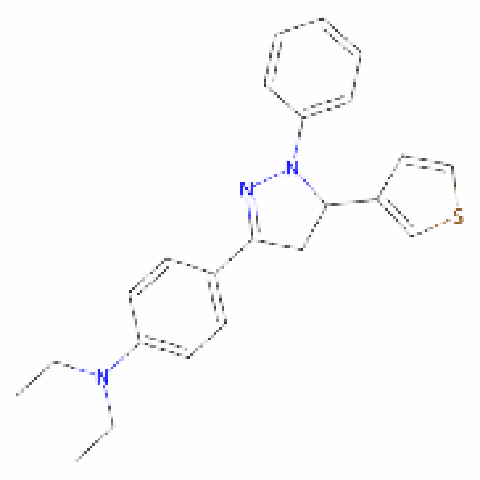 CCN(CC)c1ccc(C2=NN(c3ccccc3)C(c3ccsc3)C2)cc1